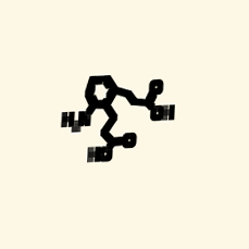 Nc1cccc(CCC(=O)O)c1CCC(=O)O